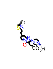 CC(C)c1csc(CCc2ccn3c(=O)c(C=CC(=O)O)c(N4CCCN(C)CC4)nc3c2)n1